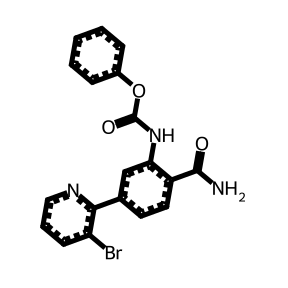 NC(=O)c1ccc(-c2ncccc2Br)cc1NC(=O)Oc1ccccc1